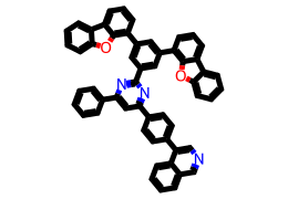 c1ccc(-c2cc(-c3ccc(-c4cncc5ccccc45)cc3)nc(-c3cc(-c4cccc5c4oc4ccccc45)cc(-c4cccc5c4oc4ccccc45)c3)n2)cc1